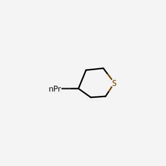 [CH2]CCC1CCSCC1